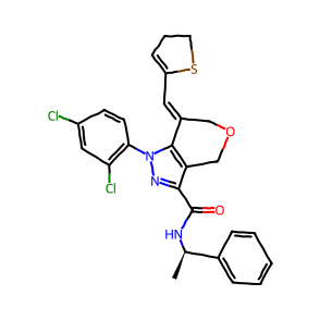 C[C@@H](NC(=O)c1nn(-c2ccc(Cl)cc2Cl)c2c1COC/C2=C\C1=CCCS1)c1ccccc1